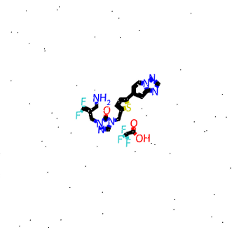 NCC(Cn1ncn(Cc2ccc(-c3ccn4ncnc4c3)s2)c1=O)=C(F)F.O=C(O)C(F)(F)F